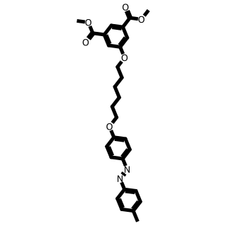 COC(=O)c1cc(OCCCCCCOc2ccc(/N=N/c3ccc(C)cc3)cc2)cc(C(=O)OC)c1